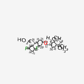 CC1(C)CCC(C)(C)c2cc(COc3ccc(C(CC(=O)O)c4cc(F)ccc4F)cc3)ccc21